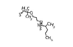 CCCC(C)[PH](=S)OCCCOC(C)(C)P=S